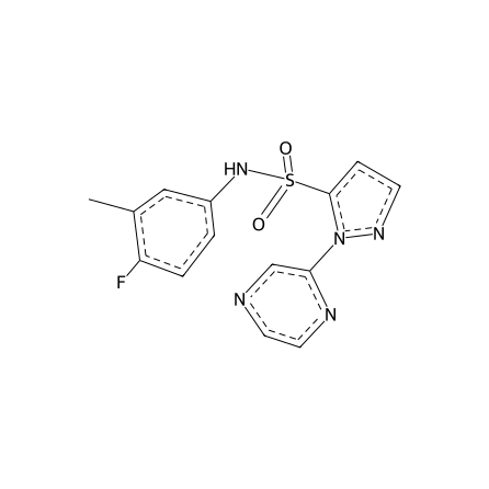 Cc1cc(NS(=O)(=O)c2ccnn2-c2cnccn2)ccc1F